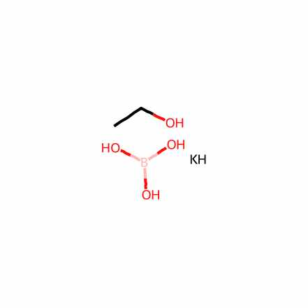 CCO.OB(O)O.[KH]